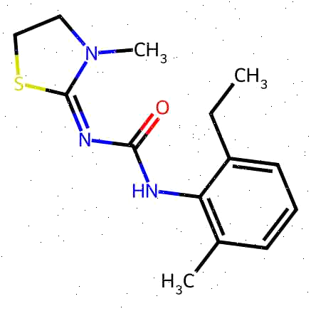 CCc1cccc(C)c1NC(=O)/N=C1/SCCN1C